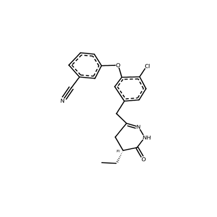 CC[C@@H]1CC(Cc2ccc(Cl)c(Oc3cccc(C#N)c3)c2)=NNC1=O